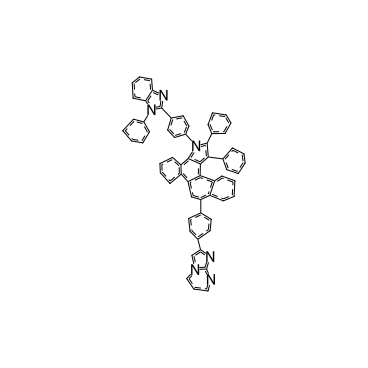 c1ccc(-c2c(-c3ccccc3)n(-c3ccc(-c4nc5ccccc5n4-c4ccccc4)cc3)c3c4ccccc4c4cc(-c5ccc(-c6cn7cccnc7n6)cc5)c5ccccc5c4c23)cc1